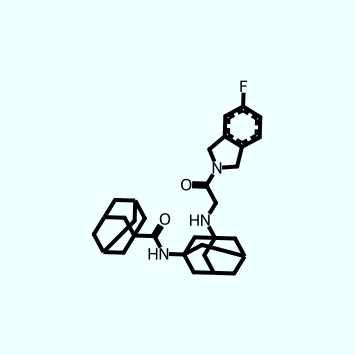 O=C(CNC12CC3CC(C1)CC(NC(=O)C14CC5CC(CC(C5)C1)C4)(C3)C2)N1Cc2ccc(F)cc2C1